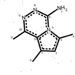 Cc1cc(C)n2c(N)nnc(C)c12